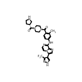 Cc1cc(Nc2nccn3c(-c4c[nH]nc4C(F)(F)F)cnc23)ccc1C(=O)N1CCN(C(=O)[C@@H]2CCNC2)CC1